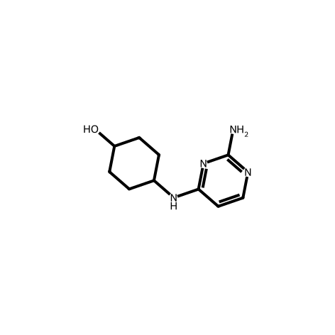 Nc1nccc(NC2CCC(O)CC2)n1